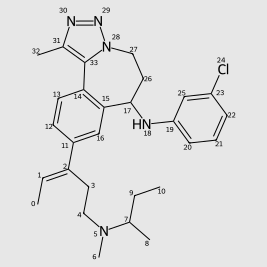 C/C=C(\CCN(C)C(C)CC)c1ccc2c(c1)C(Nc1cccc(Cl)c1)CCn1nnc(C)c1-2